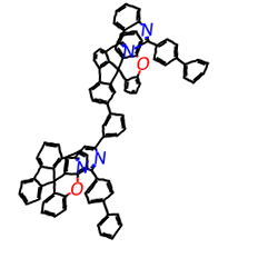 c1ccc(-c2ccc(-c3nc(-c4cccc(-c5ccc6c(c5)C5(c7ccccc7Oc7ccccc75)c5c-6cccc5-c5nc(-c6ccc(-c7ccccc7)cc6)nc6ccccc56)c4)cc(-c4cccc5c4C4(c6ccccc6Oc6ccccc64)c4ccccc4-5)n3)cc2)cc1